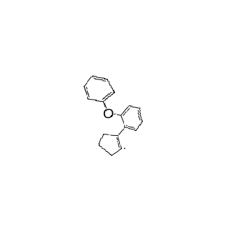 [C]1=C(c2ccccc2Oc2ccccc2)CCC1